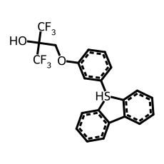 OC(COc1cccc([SH]2c3ccccc3-c3ccccc32)c1)(C(F)(F)F)C(F)(F)F